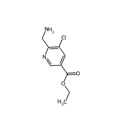 CCOC(=O)c1cnc(CN)c(Cl)c1